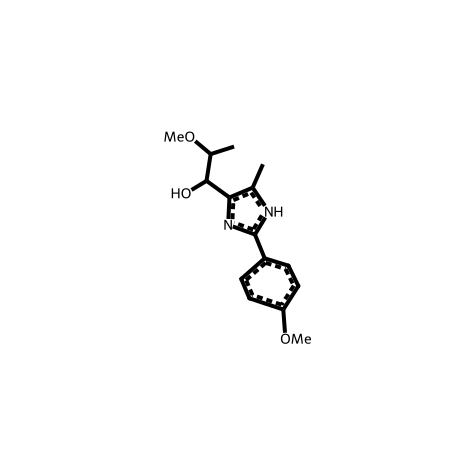 COc1ccc(-c2nc(C(O)C(C)OC)c(C)[nH]2)cc1